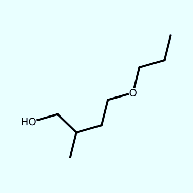 CCCOCCC(C)CO